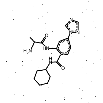 CC(N)C(=O)Nc1cc(-n2cncn2)ccc1C(=O)NC1CCCCC1